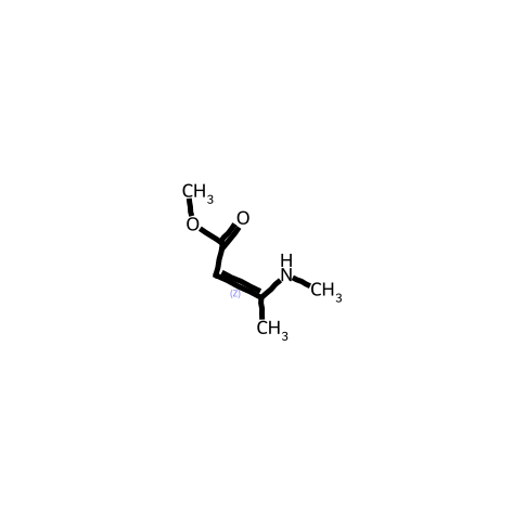 CN/C(C)=C\C(=O)OC